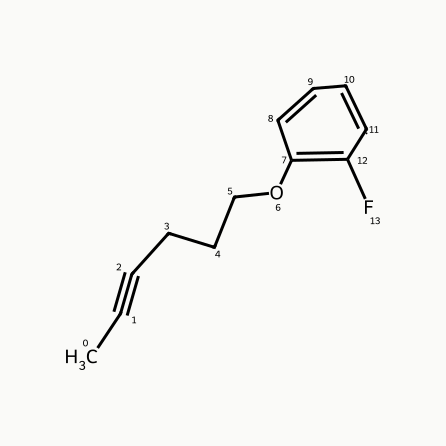 CC#CCCCOc1ccc[c]c1F